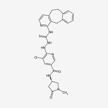 CN1C[C@H](NC(=O)c2cnc(NNC(=S)Nc3nccc4c3Cc3ccccc3CC4)c(Cl)c2)CC1=O